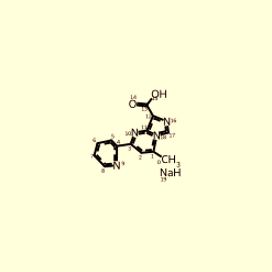 Cc1cc(-c2ccccn2)nc2c(C(=O)O)ncn12.[NaH]